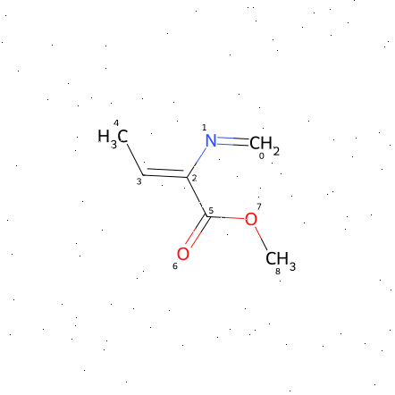 C=N/C(=C\C)C(=O)OC